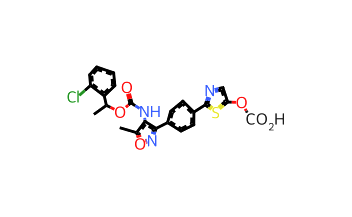 Cc1onc(-c2ccc(-c3ncc(OC(=O)O)s3)cc2)c1NC(=O)OC(C)c1ccccc1Cl